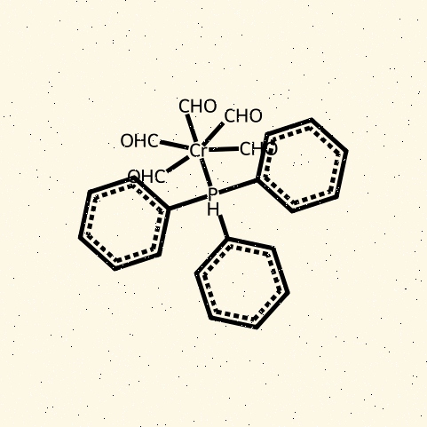 O=[CH][Cr]([CH]=O)([CH]=O)([CH]=O)([CH]=O)[PH](c1ccccc1)(c1ccccc1)c1ccccc1